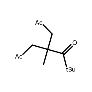 CC(=O)CC(C)(CC(C)=O)C(=O)C(C)(C)C